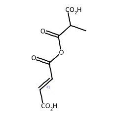 CC(C(=O)O)C(=O)OC(=O)/C=C/C(=O)O